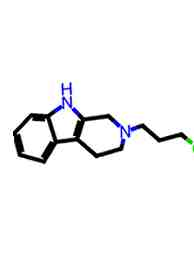 ClCCCN1CCc2c([nH]c3ccccc23)C1